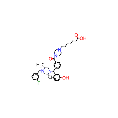 C[C@@H]1CN(C(c2cccc(O)c2)c2cccc(C(=O)N3CCN(CCCCCCC(=O)O)CC3)c2)[C@@H](C)CN1Cc1cccc(F)c1